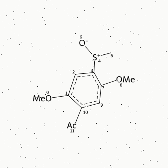 COc1cc([S+](C)[O-])c(OC)cc1C(C)=O